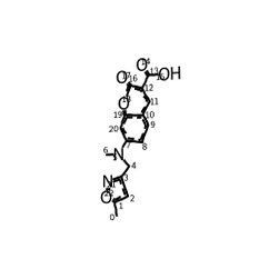 Cc1cc(CN(C)c2ccc3cc(C(=O)O)c(=O)oc3c2)no1